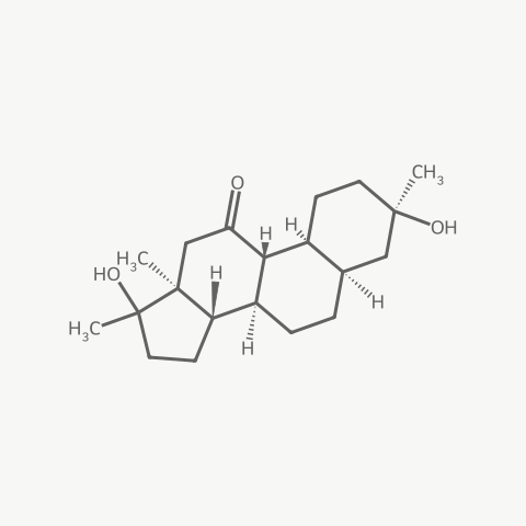 CC1(O)CC[C@H]2[C@@H]3CC[C@@H]4C[C@](C)(O)CC[C@@H]4[C@H]3C(=O)C[C@@]21C